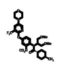 COCC(COC)N(c1ccc(Oc2ncc(N3CCOCC3)cc2C(F)(F)F)cc1C(=O)O)C(=O)[C@H]1CC[C@H](C)CC1